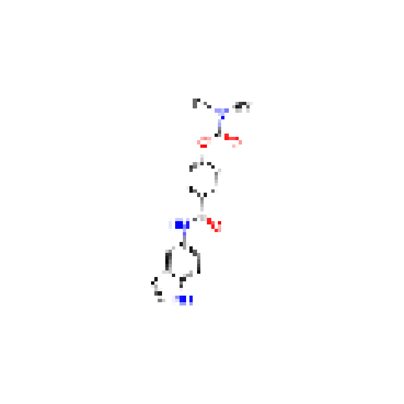 CC(C)N(C(=O)Oc1ccc(C(=O)Nc2ccc3[nH]ccc3c2)cc1)C(C)C